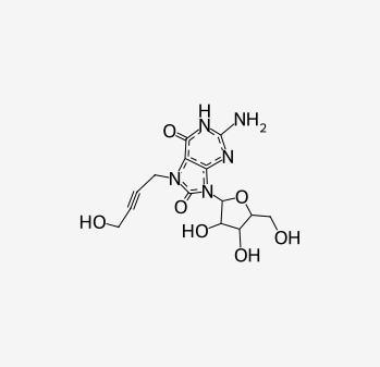 Nc1nc2c(c(=O)[nH]1)n(CC#CCO)c(=O)n2C1OC(CO)C(O)C1O